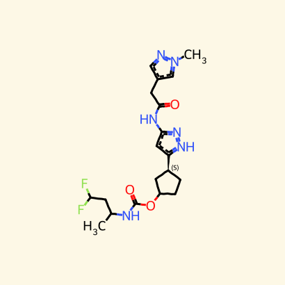 CC(CC(F)F)NC(=O)OC1CC[C@H](c2cc(NC(=O)Cc3cnn(C)c3)n[nH]2)C1